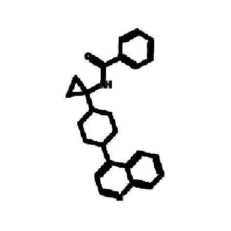 O=C(NC1(C2CCC(c3ccnc4ccccc34)CC2)CC1)c1ccccc1